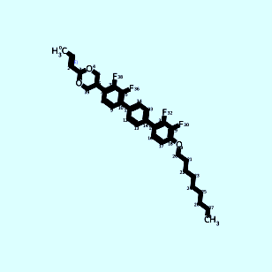 C/C=C/C1OCC(c2ccc(-c3ccc(-c4ccc(OCCCCCCCCC)c(F)c4F)cc3)c(F)c2F)CO1